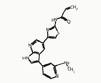 C=CC(=O)Nc1nc(-c2cnc3[nH]cc(-c4ccnc(NC)c4)c3c2)cs1